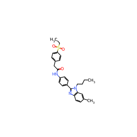 CCCCn1c(-c2ccc(NC(=O)Cc3ccc(S(=O)(=O)CC)cc3)cc2)nc2ccc(C)cc21